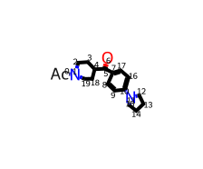 CC(=O)N1CCC(C(=O)c2ccc(N3CCCC3)cc2)CC1